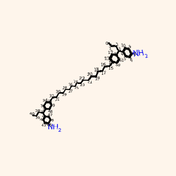 CCCC(c1ccc(N)cc1)c1ccc(CCCCCCCCCCCCCCCCCCc2ccc(C(CCC)c3ccc(N)cc3)cc2)cc1